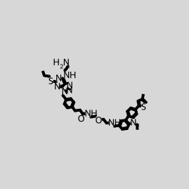 CCCSc1nc(NCCN)c2nnn(Cc3ccc(CCC(=O)NCCOCCNCc4ccc5c(c4)c4ccc(-c6cc(C)cs6)cc4n5CC)cc3)c2n1